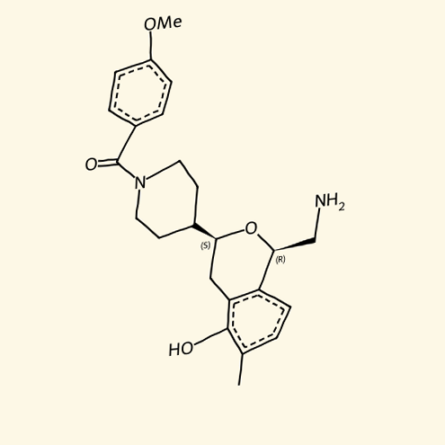 COc1ccc(C(=O)N2CCC([C@@H]3Cc4c(ccc(C)c4O)[C@H](CN)O3)CC2)cc1